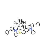 [2H]c1c([2H])c([2H])c2c(cc(N(c3ccccc3)c3cc(-c4ccccc4)ccc3C)c3sc4ccc5cc(N(c6ccccc6)c6cc(-c7ccccc7)ccc6C)ccc5c4c32)c1[2H]